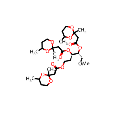 COC[C@@H](OC(=O)CC1(C)OCCC(C)O1)[C@@H](CCOC(=O)CC1(C)OCCC(C)O1)OC(=O)CC1(C)OCCC(C)O1